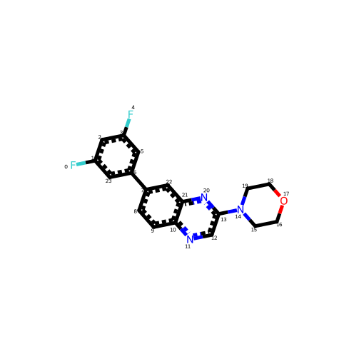 Fc1cc(F)cc(-c2ccc3ncc(N4CCOCC4)nc3c2)c1